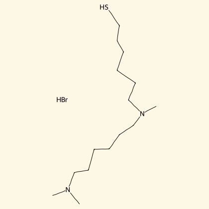 Br.CN(C)CCCCCCN(C)CCCCCCS